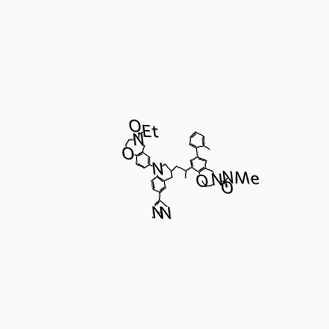 CCC(=O)N1CCOc2ccc(N3CC(CC(C)c4cc(-c5ccccc5C)cc5c4OCCN(C(=O)NC)C5)Cc4cc(-c5cnn(C)c5)ccc43)cc2C1